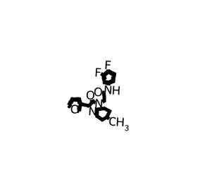 CC1CCC2(CC1)N=C(c1ccccc1)C(=O)N2CC(=O)Nc1ccc(F)c(F)c1